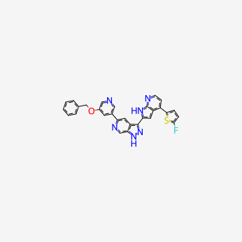 Fc1ccc(-c2ccnc3[nH]c(-c4n[nH]c5cnc(-c6cncc(OCc7ccccc7)c6)cc45)cc23)s1